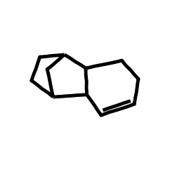 C1=CC2C3CCC(C3)C2CC1